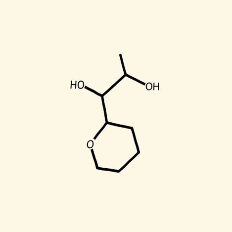 CC(O)C(O)C1CCCCO1